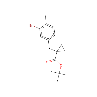 Cc1ccc(CC2(C(=O)OC(C)(C)C)CC2)cc1Br